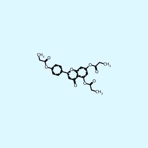 CCC(=O)Oc1ccc(-c2cc(=O)c3c(OC(=O)CC)cc(OC(=O)CC)cc3o2)cc1